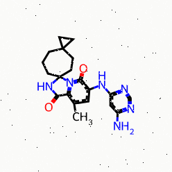 Cc1cc(Nc2cc(N)ncn2)c(=O)n2c1C(=O)NC21CCCC2(CC2)CC1